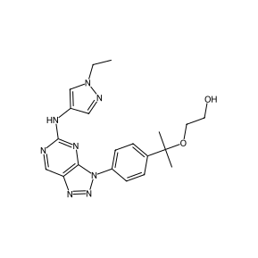 CCn1cc(Nc2ncc3nnn(-c4ccc(C(C)(C)OCCO)cc4)c3n2)cn1